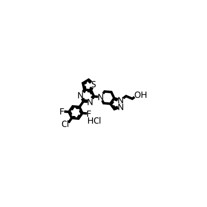 Cl.OCCn1ncc2c1CCN(c1nc(-c3cc(F)c(Cl)cc3F)nc3ccsc13)C2